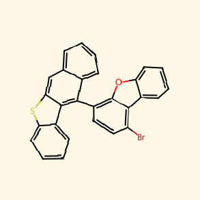 Brc1ccc(-c2c3ccccc3cc3sc4ccccc4c23)c2oc3ccccc3c12